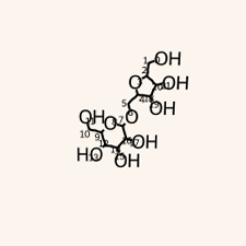 OCC1OC(COC2OC(CO)C(O)C(O)C2O)C(O)C1O